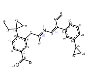 C=C/C(=C\N=C(/C)Cc1cc(C(C)=O)ccc1C1(CC)CC1)c1cc(C2CC2)ccn1